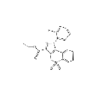 CCOC(=O)c1nn(-c2ccccc2F)c2c1CS(=O)(=O)c1ccccc1-2